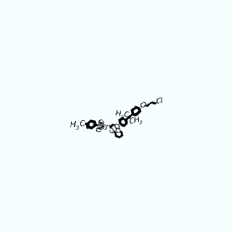 Cc1ccc(S(=O)(=O)OC[C@H](COc2ccc(C(C)(C)c3ccc(OCCCCl)cc3)cc2)OC2CCCCO2)cc1